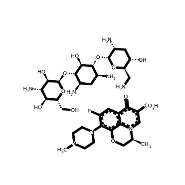 C[C@H]1COc2c(N3CCN(C)CC3)c(F)cc3c(=O)c(C(=O)O)cn1c23.NC[C@H]1O[C@H](O[C@H]2[C@H](O)[C@@H](O[C@H]3O[C@H](CO)[C@@H](O)[C@H](N)[C@H]3O)[C@H](N)C[C@@H]2N)[C@H](N)C[C@@H]1O